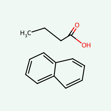 CCCC(=O)O.c1ccc2ccccc2c1